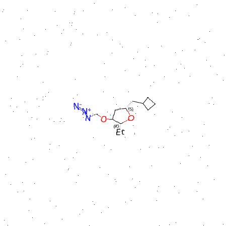 CC[C@H]1O[C@@H](CC2CCC2)CC1OCN=[N+]=[N-]